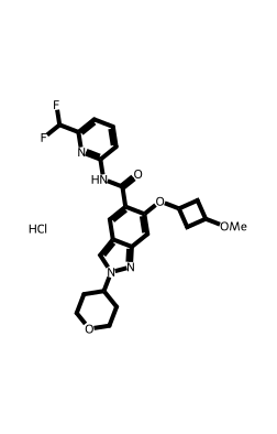 COC1CC(Oc2cc3nn(C4CCOCC4)cc3cc2C(=O)Nc2cccc(C(F)F)n2)C1.Cl